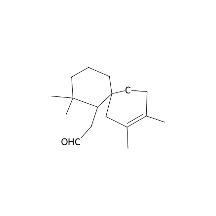 CC1=C(C)CC2(CCCC(C)(C)C2CC=O)CC1